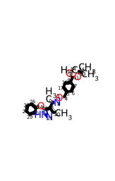 C/C(=N\OCc1ccc(C(=O)OC(C)(C)C)cc1)c1c(C)n[nH]c1Oc1ccccc1